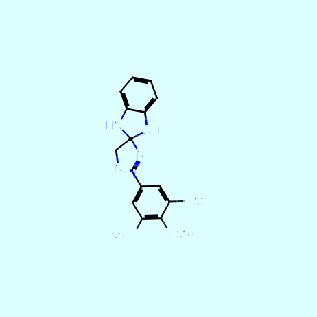 COc1cc(C=NC2(CN)Nc3ccccc3N2)cc(OC)c1OC